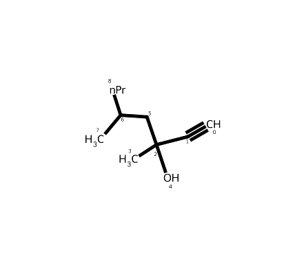 C#CC(C)(O)CC(C)CCC